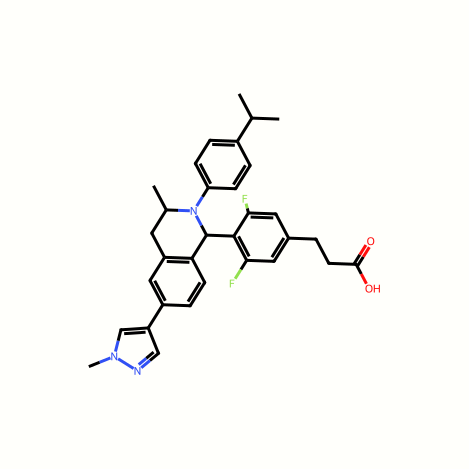 CC(C)c1ccc(N2C(C)Cc3cc(-c4cnn(C)c4)ccc3C2c2c(F)cc(CCC(=O)O)cc2F)cc1